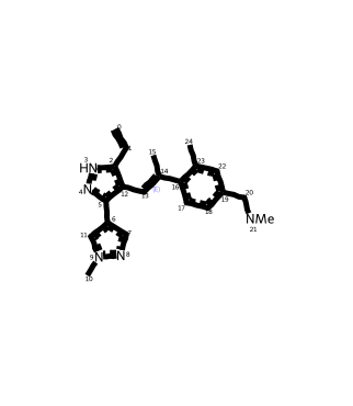 C=Cc1[nH]nc(-c2cnn(C)c2)c1/C=C(\C)c1ccc(CNC)cc1C